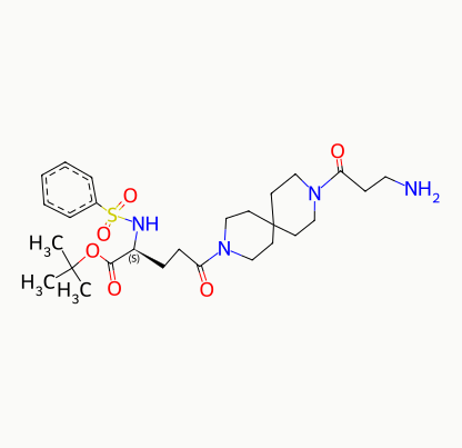 CC(C)(C)OC(=O)[C@H](CCC(=O)N1CCC2(CCN(C(=O)CCN)CC2)CC1)NS(=O)(=O)c1ccccc1